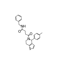 Cc1ccc(C2c3ccsc3CCN2C(=O)CCC(=O)NCc2ccccc2)cc1